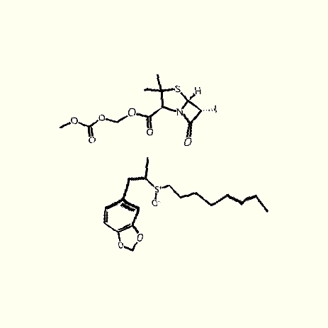 CCCCCCCC[S+]([O-])C(C)Cc1ccc2c(c1)OCO2.COC(=O)OCOC(=O)[C@@H]1N2C(=O)[C@@H](I)[C@H]2SC1(C)C